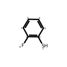 Fc1[c]cccc1S